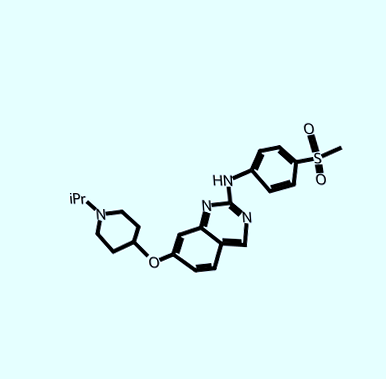 CC(C)N1CCC(Oc2ccc3cnc(Nc4ccc(S(C)(=O)=O)cc4)nc3c2)CC1